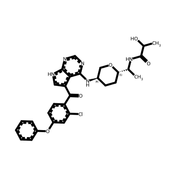 CC(O)C(=O)NC(C)[C@@H]1CC[C@@H](Nc2ncnc3[nH]cc(C(=O)c4ccc(Oc5ccccc5)cc4Cl)c23)CO1